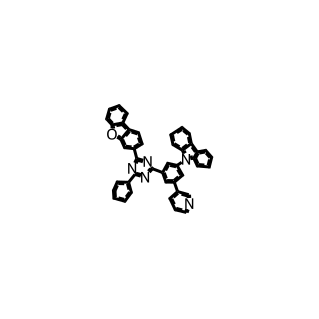 c1ccc(-c2nc(-c3cc(-c4cccnc4)cc(-n4c5ccccc5c5ccccc54)c3)nc(-c3ccc4c(c3)oc3ccccc34)n2)cc1